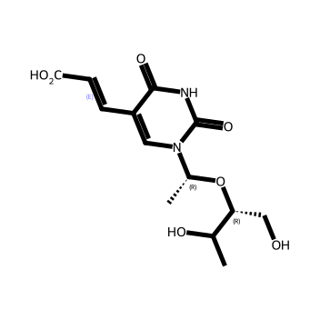 CC(O)[C@@H](CO)O[C@H](C)n1cc(/C=C/C(=O)O)c(=O)[nH]c1=O